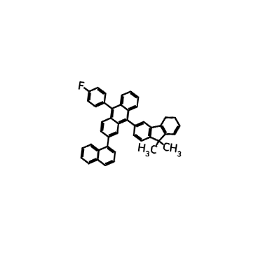 CC1(C)C2=C(CCC=C2)c2cc(-c3c4ccccc4c(-c4ccc(F)cc4)c4ccc(-c5cccc6ccccc56)cc34)ccc21